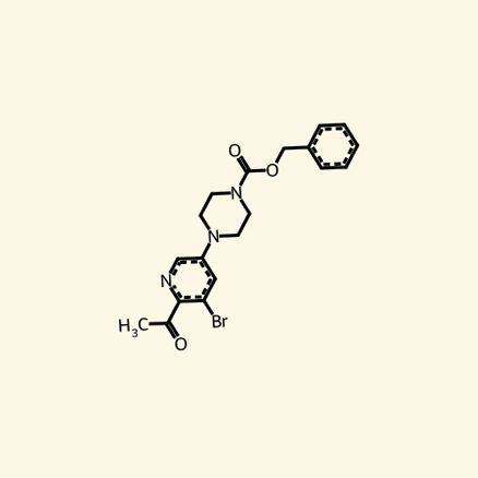 CC(=O)c1ncc(N2CCN(C(=O)OCc3ccccc3)CC2)cc1Br